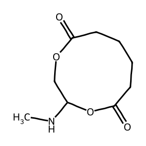 CNC1COC(=O)CCCCC(=O)O1